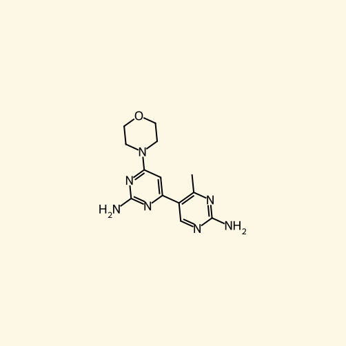 Cc1nc(N)ncc1-c1cc(N2CCOCC2)nc(N)n1